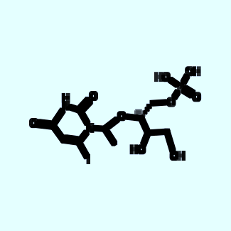 CC(O[C@H](COP(=O)(O)O)C(O)CO)n1c(I)cc(=O)[nH]c1=O